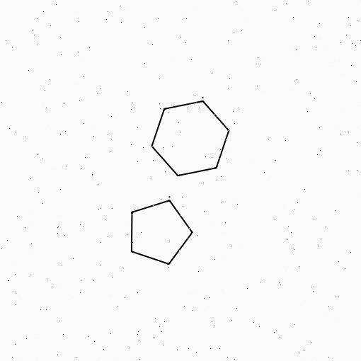 [CH]1CCCC1.[CH]1CCCCC1